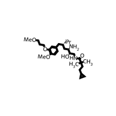 COCCCOc1cc(C[C@@H](C[C@H](N)[C@@H](O)CNC(=O)C(C)(C)CCC2CC2)C(C)C)ccc1OC